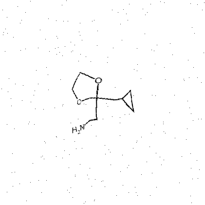 NCC1(C2CC2)OCCO1